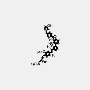 COc1cc(/C=C/c2cccc(-c3cccc(NC(=O)c4ccc(CN5CC[C@@H](O)C5)cn4)c3C#N)c2C)c(C(F)(F)F)cc1CNC[C@@H](O)CC(=O)O